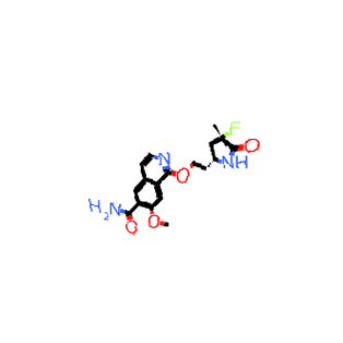 COc1cc2c(OCC[C@@H]3C[C@](C)(F)C(=O)N3)nccc2cc1C(N)=O